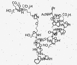 CC(=O)N[C@@H](CC(C)C)C(=O)NCC(=O)N[C@@H](CCC(=O)O)C(=O)N[C@@H](CC(C)C)C(=O)N[C@H](C(=O)N[C@@H](Cc1c[nH]c2ccccc12)C(=O)N[C@@H](CSSC[C@H](NC(=O)[C@H](CC(=O)O)NC(=O)CCCOCc1cn(CCCC[C@H](NC(=O)N[C@@H](CCC(=O)O)C(=O)O)C(=O)O)nn1)C(=O)N[C@@H](C)C(=O)N[C@@H](Cc1c[nH]c2ccccc12)C(=O)NCc1c[nH]cn1)C(=O)N[C@H](C(=O)O)[C@@H](C)O)C(C)C